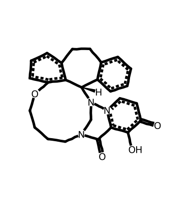 O=C1c2c(O)c(=O)ccn2N2CN1CCCCOc1cccc3c1[C@@H]2c1ccccc1CC3